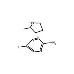 CC1CCCN1.CCc1cnc(N)nc1